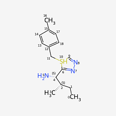 CC[C@H](C)[C@H](N)C1=NN=C[SH]1Cc1ccc(C)cc1